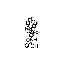 CCOc1cc(NC(=O)[C@@H](CO)c2ccccc2)ccc1S(=O)(=O)Nc1ccc(F)c(OC(F)(F)P)c1